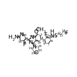 COc1cc(-c2cccc(NSCCCF)c2F)cc2c(N3CCOCC3)nc(-c3cnc(N)cc3F)nc12